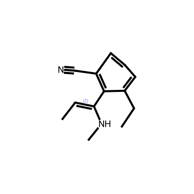 C/C=C(\NC)c1c(C#N)cccc1CC